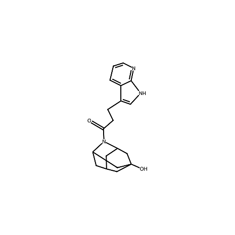 O=C(CCc1c[nH]c2ncccc12)N1C2CC3CC1CC(O)(C3)C2